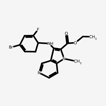 CCOC(=O)c1c(NC2CC=C(Br)C=C2F)c2cnccc2n1C